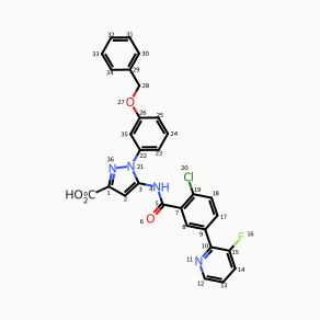 O=C(O)c1cc(NC(=O)c2cc(-c3ncccc3F)ccc2Cl)n(-c2cccc(OCc3ccccc3)c2)n1